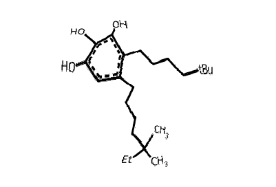 CCC(C)(C)CCCCc1cc(O)c(O)c(O)c1CCCCC(C)(C)C